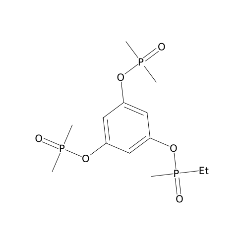 CCP(C)(=O)Oc1cc(OP(C)(C)=O)cc(OP(C)(C)=O)c1